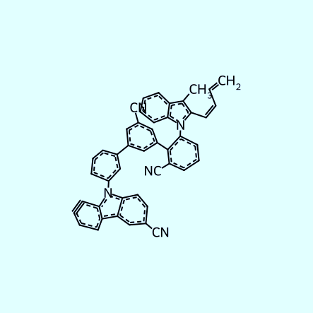 C=C/C=C\c1c(C)c2ccccc2n1-c1cccc(C#N)c1-c1cc(C#N)cc(-c2cccc(-n3c4c#cccc4c4cc(C#N)ccc43)c2)c1